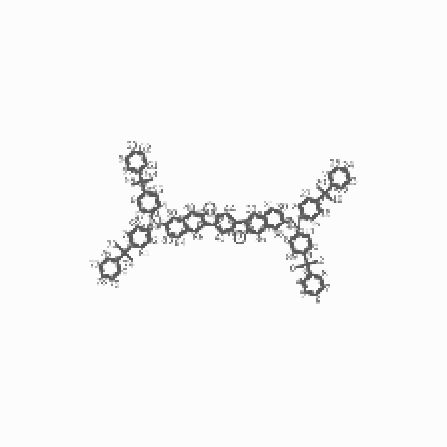 CC(C)(c1ccccc1)c1ccc(N(c2ccc(C(C)(C)c3ccccc3)cc2)c2ccc3cc4c(cc3c2)oc2cc3c(cc24)oc2cc4cc(N(c5ccc(C(C)(C)c6ccccc6)cc5)c5ccc(C(C)(C)c6ccccc6)cc5)ccc4cc23)cc1